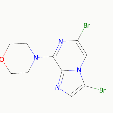 Brc1cn2c(Br)cnc2c(N2CCOCC2)n1